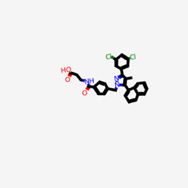 Cc1c(-c2cc(Cl)cc(Cl)c2)nn(Cc2ccc(C(=O)NCCC(=O)O)cc2)c1-c1cccc2ccccc12